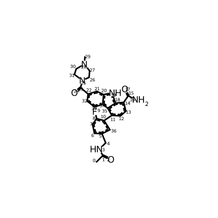 CC(=O)NCc1ccc(F)c(-c2ccc(C(N)=O)c3[nH]c4cc(C(=O)N5CCN(C)CC5)ccc4c23)c1